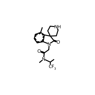 Cc1cccc2c1C1(CCNCC1)C(=O)N2CC(=O)N(C)C(C)C(F)(F)F